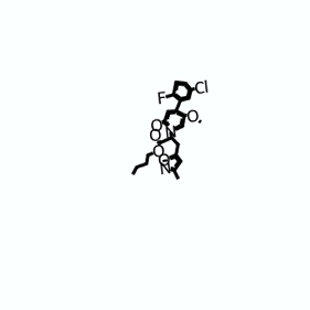 CCCCOC(=O)C(Cc1cc(C)no1)n1cc(OC)c(-c2cc(Cl)ccc2F)cc1=O